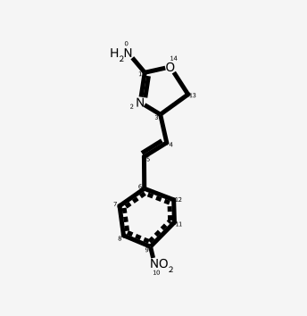 NC1=NC(C=Cc2ccc([N+](=O)[O-])cc2)CO1